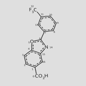 O=C(O)c1ccc2oc(-c3cccc(C(F)(F)F)c3)nc2c1